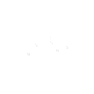 CN1CCN(CCNc2nc(-c3cccs3)nc3ccccc23)CC1